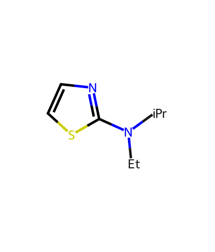 CCN(c1nccs1)C(C)C